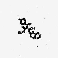 CCCCCCCCCCCC(CC(O)[C@H](C(=O)OC(C)(C)C)[S+]([O-])c1ccc(C)cc1)O[C@H]1CCCCO1